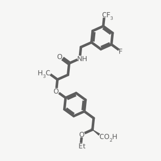 CCO[C@@H](Cc1ccc(OC(C)CC(=O)NCc2cc(F)cc(C(F)(F)F)c2)cc1)C(=O)O